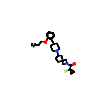 O=C(N1CC2(CC[C@@H](N3CCC(c4ccccc4OCCC(F)(F)F)CC3)C2)C1)C1(F)CC1